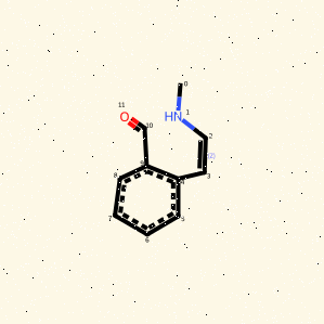 CN/C=C\c1ccccc1C=O